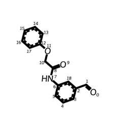 O=Cc1cccc(NC(=O)COc2ccccc2)c1